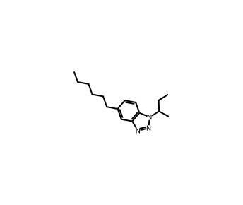 CCCCCCc1ccc2c(c1)nnn2C(C)CC